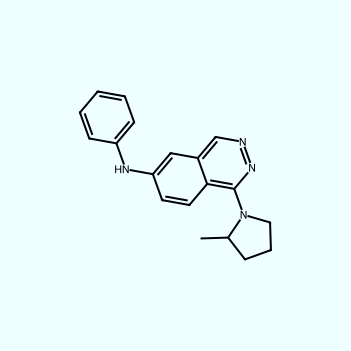 CC1CCCN1c1nncc2cc(Nc3ccccc3)ccc12